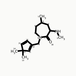 CNC1CC(C)CCN(CC2=CC(C)(C)C=C2)C1=O